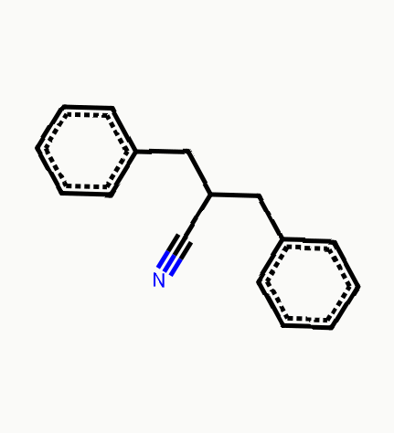 N#CC(Cc1ccccc1)Cc1ccccc1